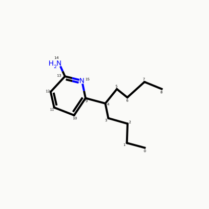 CCCCC(CCCC)c1cccc(N)n1